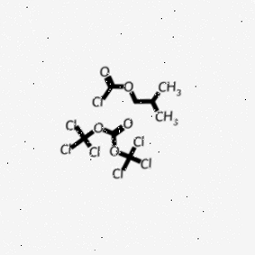 CC(C)COC(=O)Cl.O=C(OC(Cl)(Cl)Cl)OC(Cl)(Cl)Cl